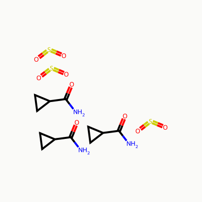 NC(=O)C1CC1.NC(=O)C1CC1.NC(=O)C1CC1.O=S=O.O=S=O.O=S=O